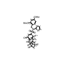 COc1ccc(CN(c2nccs2)S(=O)(=O)c2cc(Cl)c(N[C@H]3[C@H]4C[C@@H](C[C@@H]3N(C)C)C4(Cl)Cl)cc2F)c(OC)c1